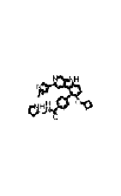 Cn1cc(-c2cc3c(cn2)[nH]c2ccc(OC4CCC4)c(-c4ccc(C(=O)NC[C@@H]5CCCN5)cc4)c23)cn1